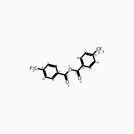 O=C(OC(=O)c1ccc(C(F)(F)F)cc1)c1ccc(C(F)(F)F)cc1